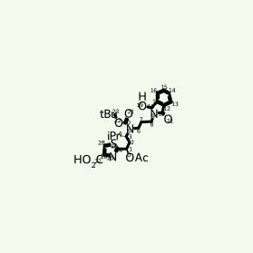 CC(=O)O[C@H](C[C@H](C(C)C)N(CCCN1C(=O)c2ccccc2C1O)C(=O)OC(C)(C)C)c1nc(C(=O)O)cs1